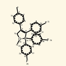 Cc1ccc(C2=C(c3ccc(F)cc3)[B-](c3ccc(F)cc3)(c3ccc(F)cc3)[O+](C)C2)cc1